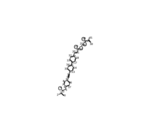 C=C(C)C(=O)Cc1ccc(C#Cc2ccc(-c3ccc(/C=C/C(=O)OCOC(=O)C(=C)C)cc3)cc2)cc1